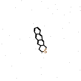 [CH]1CC2C=c3cc4ccccc4cc3=CC2CS1